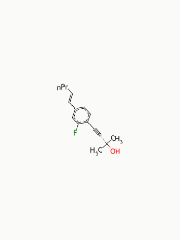 CCC/C=C/c1ccc(C#CC(C)(C)O)c(F)c1